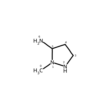 CN1NCCC1N